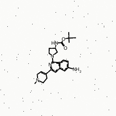 CN1CC=C(c2cc3cc(N)ccc3c(N3CC[C@@H](NC(=O)OC(C)(C)C)C3)n2)CC1